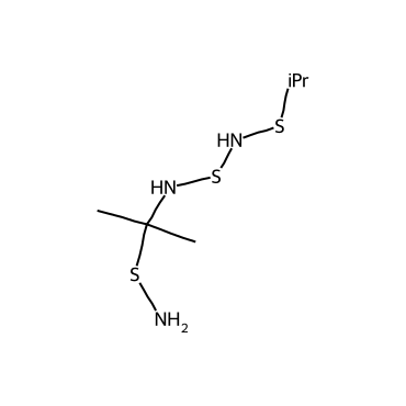 CC(C)SNSNC(C)(C)SN